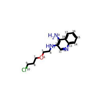 Nc1c(NCCOCCCCl)cnc2ccccc12